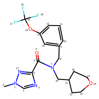 Cn1cnc(C(=O)N(Cc2cccc(OC(F)(F)F)c2)CC2CCOCC2)n1